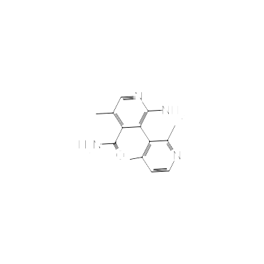 Cc1cnc(N)c(-c2c(C)ccnc2C)c1C(N)=O